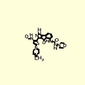 CN1CCN(c2cc(NC=O)c(-c3n[nH]c4c3C(=O)c3c(NC(=O)NN5CCOCC5)cccc3-4)s2)CC1